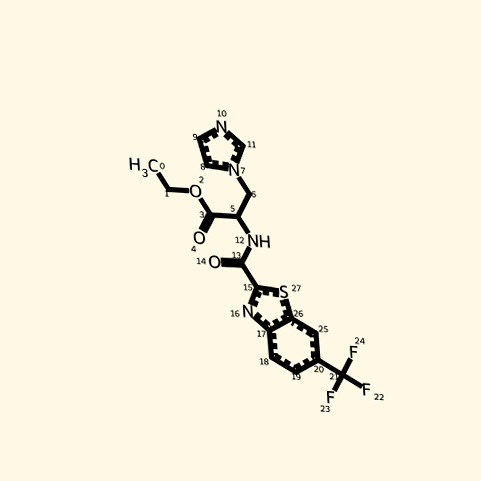 CCOC(=O)C(Cn1ccnc1)NC(=O)c1nc2ccc(C(F)(F)F)cc2s1